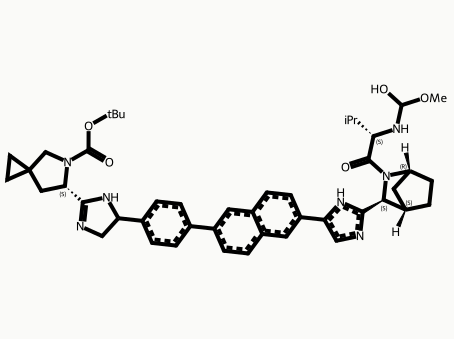 COC(O)N[C@H](C(=O)N1[C@@H]2CC[C@@H](C2)[C@H]1c1ncc(-c2ccc3cc(-c4ccc(C5CN=C([C@@H]6CC7(CC7)CN6C(=O)OC(C)(C)C)N5)cc4)ccc3c2)[nH]1)C(C)C